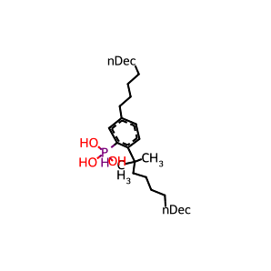 CCCCCCCCCCCCCCc1ccc(C(C)(C)CCCCCCCCCCCCCC)c([PH](O)(O)O)c1